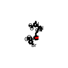 COC(=O)c1cc(C)nc(-c2cnn(C)c2OCCN2CC3CCC(Nc4cc(Br)ccc4[N+](=O)[O-])(CC3)C2)c1